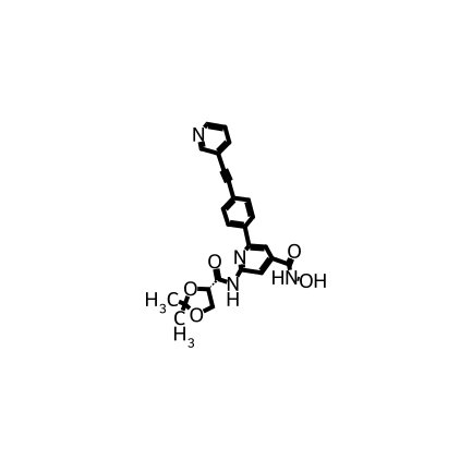 CC1(C)OC[C@@H](C(=O)Nc2cc(C(=O)NO)cc(-c3ccc(C#Cc4cccnc4)cc3)n2)O1